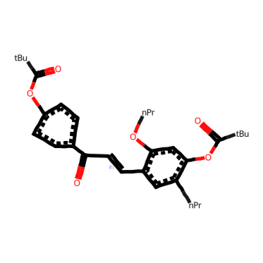 CCCOc1cc(OC(=O)C(C)(C)C)c(CCC)cc1/C=C/C(=O)c1ccc(OC(=O)C(C)(C)C)cc1